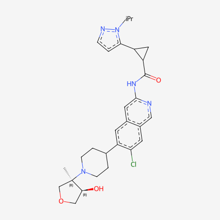 CC(C)n1nccc1C1CC1C(=O)Nc1cc2cc(C3CCN([C@]4(C)COC[C@@H]4O)CC3)c(Cl)cc2cn1